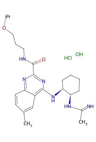 CC(=N)N[C@@H]1CCCC[C@@H]1Nc1nc(C(=O)NCCCOC(C)C)nc2ccc(C)cc12.Cl.Cl